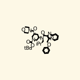 CC(C)CN(C(=O)c1nc2ccccn2c1COc1ccccc1)[C@H]1C[C@@H](C(=O)N2CCOCC2)CN(C(=O)OC(C)(C)C)C1